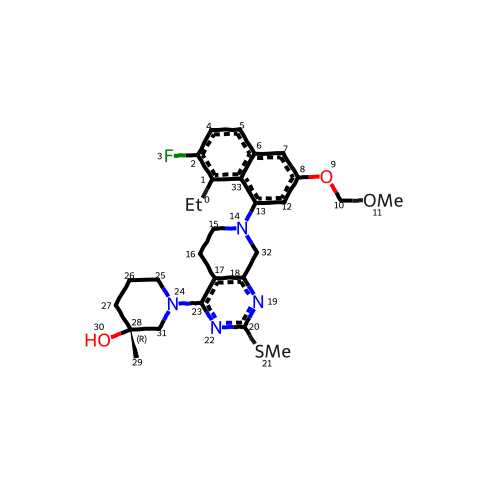 CCc1c(F)ccc2cc(OCOC)cc(N3CCc4c(nc(SC)nc4N4CCC[C@@](C)(O)C4)C3)c12